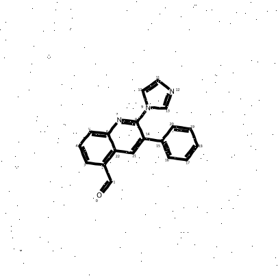 O=Cc1cccc2nc(-n3ccnc3)c(-c3ccccc3)cc12